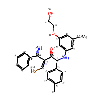 COc1cc(NC(C(=O)/C(=C/S)C(=N)c2ccccc2)c2ccc(C)cc2)cc(OCCO)c1